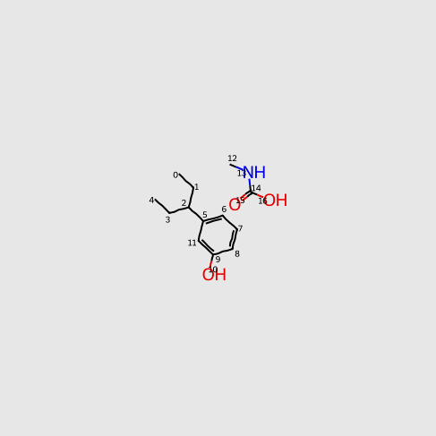 CCC(CC)c1cccc(O)c1.CNC(=O)O